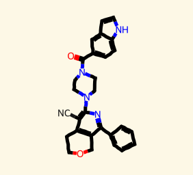 N#Cc1c(N2CCN(C(=O)c3ccc4[nH]ccc4c3)CC2)nc(-c2ccccc2)c2c1CCOC2